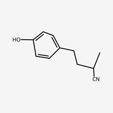 CC(C#N)CCc1ccc(O)cc1